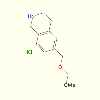 COCOCc1ccc2c(c1)CCNC2.Cl